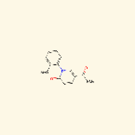 CNC(=O)c1ccc(=O)n(-c2ccccc2OC)c1